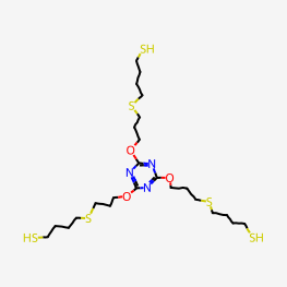 SCCCCSCCCOc1nc(OCCCSCCCCS)nc(OCCCSCCCCS)n1